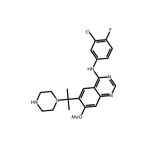 COc1cc2ncnc(Nc3ccc(F)c(Cl)c3)c2cc1C(C)(C)N1CCNCC1